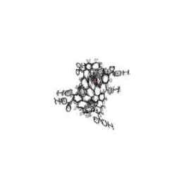 O=C(O)C1=CC2=Cc3cc4c5c6c3C37OC23C2=C1C=CC1=Cc3c(C(=O)O)c(O)c8c9c3C(O)(C7=C3C6=C6C7=C%10C(=CC(=C8)C78OC398)C(C(=O)O)=c3ccc7c8c3C%103OC39C63OC53c3c5c(c(C(=O)O)cc3=C4O)=CC(=CC=7)C8(O)C59O)C12O